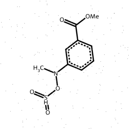 COC(=O)c1cccc(N(C)O[SH](=O)=O)c1